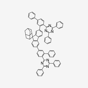 c1ccc(-c2ccc(-c3nc(-c4ccccc4)nc(-c4ccccc4)n3)c(-c3ccc4c(c3)C3(c5ccc(-c6ccc(-c7nc(-c8ccccc8)nc(-c8ccccc8)n7)c(-c7ccccc7)c6)cc5-4)C4CC5CC(C4)CC3C5)c2)cc1